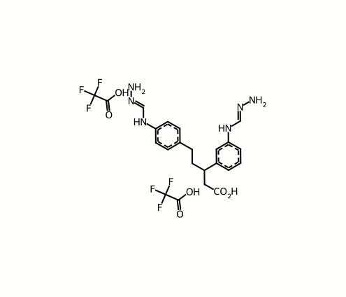 NN=CNc1ccc(CCC(CC(=O)O)c2cccc(NC=NN)c2)cc1.O=C(O)C(F)(F)F.O=C(O)C(F)(F)F